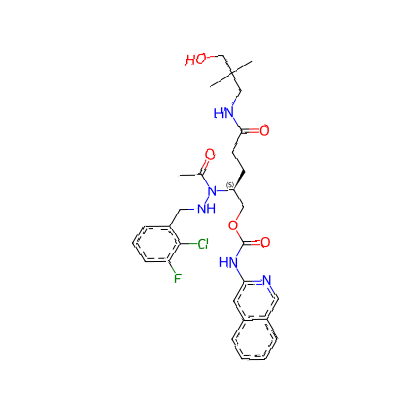 CC(=O)N(NCc1cccc(F)c1Cl)[C@@H](CCC(=O)NCC(C)(C)CO)COC(=O)Nc1cc2ccccc2cn1